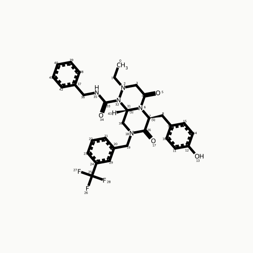 CCN1CC(=O)N2[C@@H](Cc3ccc(O)cc3)C(=O)N(Cc3cccc(C(F)(F)F)c3)C[C@@H]2N1C(=O)NCc1ccccc1